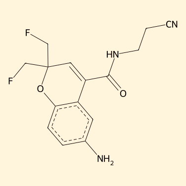 N#CCCNC(=O)C1=CC(CF)(CF)Oc2ccc(N)cc21